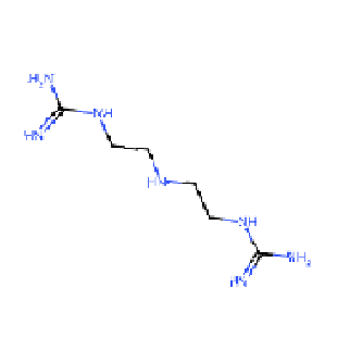 N=C(N)NCCNCCNC(=N)N